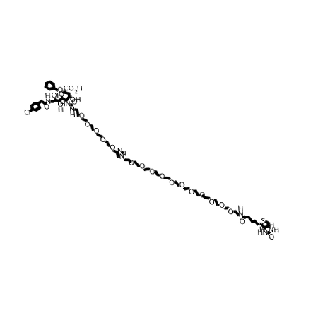 O=C(CCCC[C@@H]1SC[C@@H]2NC(=O)N[C@@H]21)NCCOCCOCCOCCOCCOCCOCCOCCOCCOCCOCCOCCn1cc(COCCOCCOCCOCCOCCNC(=O)N[C@H]2[C@H]([C@H](O)[C@H](O)CNC(=O)Cc3ccc(Cl)cc3)O[C@@](OCc3ccccc3)(C(=O)O)C[C@@H]2O)nn1